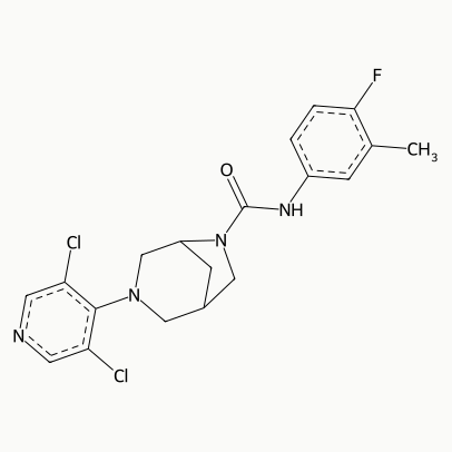 Cc1cc(NC(=O)N2CC3CC2CN(c2c(Cl)cncc2Cl)C3)ccc1F